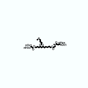 CCCCCCCCC(CCCCCC)CC(=O)N(C)CC(=O)OCCCCCC(CCCCCOC(=O)C(CCCCCC)CCCCCCCC)OC(=O)CCCN(C)C